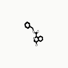 O=C(OCc1ccccc1)c1ncc(Cl)c2ccccc12